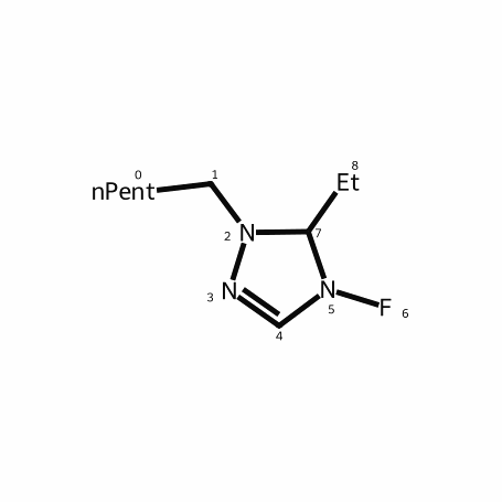 CCCCCCN1N=CN(F)C1CC